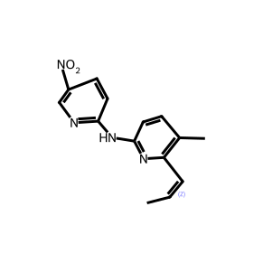 C/C=C\c1nc(Nc2ccc([N+](=O)[O-])cn2)ccc1C